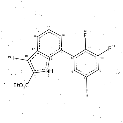 CCOC(=O)c1[nH]c2c(-c3cc(F)cc(F)c3F)cccc2c1I